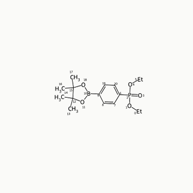 CCOP(=O)(OCC)c1ccc(B2OC(C)(C)C(C)(C)O2)cc1